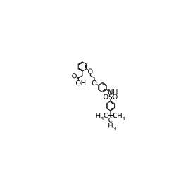 CC(C)(C)c1ccc(S(=O)(=O)Nc2ccc(OCCOc3ccccc3CC(=O)O)cc2)cc1